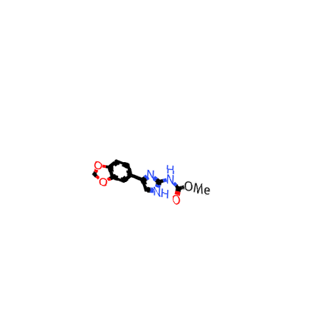 COC(=O)Nc1nc(-c2ccc3c(c2)OCO3)c[nH]1